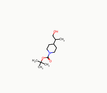 CC(CO)C1CCN(C(=O)OC(C)(C)C)CC1